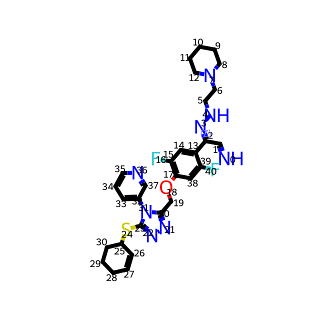 N=C/C(=N\NCCN1CCCCC1)c1cc(F)c(OCc2nnc(SC3C=CCCC3)n2-c2cccnc2)cc1F